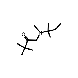 CCC(C)(C)N(C)CC(=O)C(C)(C)C